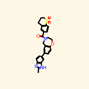 Cc1nc2ccc(-c3ccc4c(c3)CN(C(=O)c3ccc5c(c3)CCCS5(=O)=O)CCO4)cc2[nH]1